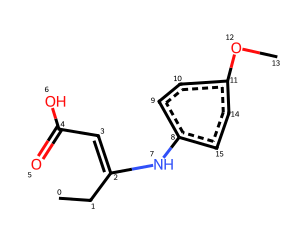 CCC(=CC(=O)O)Nc1ccc(OC)cc1